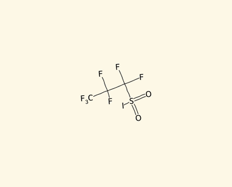 O=S(=O)(I)C(F)(F)C(F)(F)C(F)(F)F